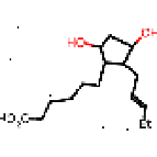 CCC=CCC1C(O)CC(O)C1CCCCCC(=O)O